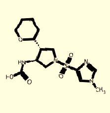 Cn1cnc(S(=O)(=O)N2C[C@@H](NC(=O)O)[C@H](C3CCCCO3)C2)c1